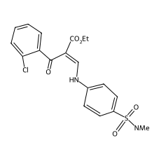 CCOC(=O)/C(=C/Nc1ccc(S(=O)(=O)NC)cc1)C(=O)c1ccccc1Cl